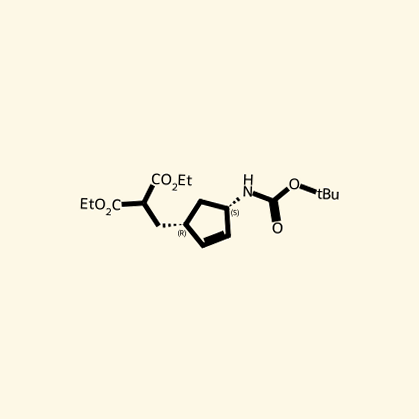 CCOC(=O)C(C[C@H]1C=C[C@@H](NC(=O)OC(C)(C)C)C1)C(=O)OCC